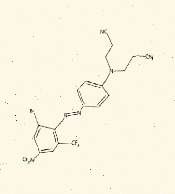 N#CCCN(CCC#N)c1ccc(N=Nc2c(Br)cc([N+](=O)[O-])cc2C(F)(F)F)cc1